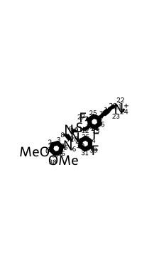 COc1ccc(N(C)c2cnc(SCc3c(F)cc(C#CC[N+](C)(C)C)cc3F)n2-c2ccc(F)cc2)cc1OC